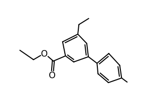 CCOC(=O)c1cc(CC)cc(-c2ccc(C)cc2)c1